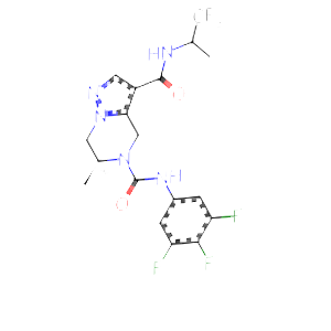 CC(NC(=O)c1cnn2c1CN(C(=O)Nc1cc(F)c(F)c(F)c1)[C@@H](C)C2)C(F)(F)F